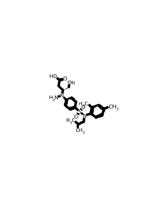 Cc1ccc(N(CC(C)C)S(=O)(=O)c2ccc(N(N)[C@@H](CO)CC(=O)O)cc2)c(C)c1